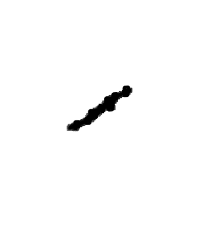 C=CC(=O)OCCCCCCOc1ccc(OC(=O)c2ccc(/C=N/N=C/c3ccc(OC(=O)c4ccc(OCCCCCCO/C(C=C)=C/CCC)cc4)cc3)cc2C(=O)OC)cc1